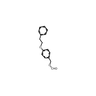 O=COCc1ccc(OCCc2ccccc2)cc1